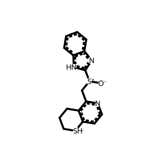 [O-][S+](Cc1nccc2c1CCC[SH]2)c1nc2ccccc2[nH]1